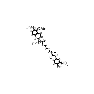 CCCN(C(=O)CCCCCNC(=O)Cc1ccc(O)c([N+](=O)[O-])c1)C1CCc2c(ccc(OC)c2OC)C1